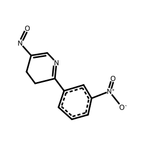 O=NC1=CN=C(c2cccc([N+](=O)[O-])c2)CC1